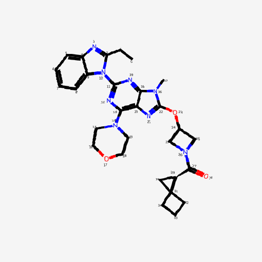 CCc1nc2ccccc2n1-c1nc(N2CCOCC2)c2nc(OC3CN(C(=O)[C@@H]4CC45CCC5)C3)n(C)c2n1